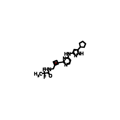 CC(F)(F)C(=O)NCC12CC(C1)N(c1nccc(Nc3cc(C4CCCC4)[nH]n3)n1)C2